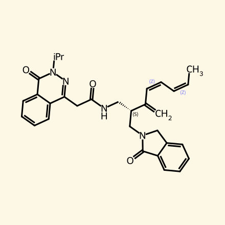 C=C(/C=C\C=C/C)[C@@H](CNC(=O)Cc1nn(C(C)C)c(=O)c2ccccc12)CN1Cc2ccccc2C1=O